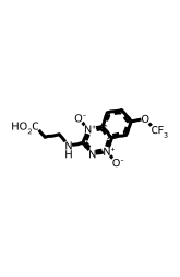 O=C(O)CCNc1n[n+]([O-])c2cc(OC(F)(F)F)ccc2[n+]1[O-]